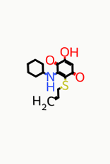 C=CCSC1=C(NC2CCCCC2)C(=O)C(O)=CC1=O